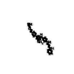 Nc1cc(N2CCN(CCOCCO)CC2)nc(NC2CCC(NCCCNC3CCCCC3)CC2)n1